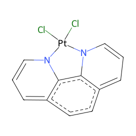 [Cl][Pt]1([Cl])[N]2C=CC=c3ccc4c(c32)[N]1C=CC=4